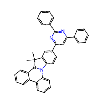 CC1(C)B2c3ccccc3-c3ccccc3N2c2ccc(-c3cc(-c4ccccc4)nc(-c4ccccc4)n3)cc21